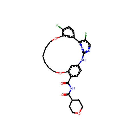 O=C(NC(=O)C1CCOCC1)c1ccc2cc1OCCCCCCOc1cc(ccc1F)-c1nc(ncc1F)N2